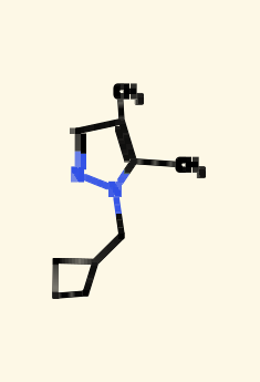 Cc1[c]nn(CC2CCC2)c1C